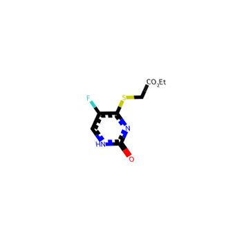 CCOC(=O)CSc1nc(=O)[nH]cc1F